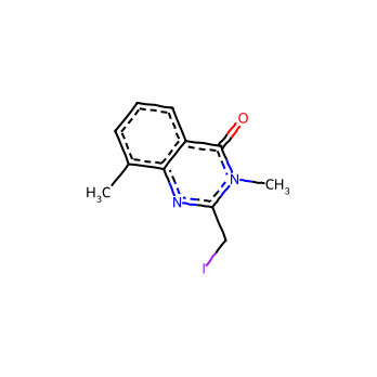 Cc1cccc2c(=O)n(C)c(CI)nc12